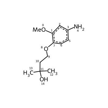 COc1cc(N)ccc1OCCC(C)(C)O